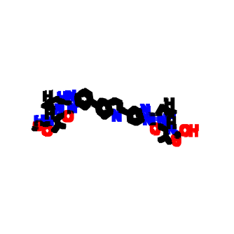 COC(=O)NC(C(=O)N1[C@@H]2C[C@@H]2C[C@H]1c1nc2cc(-c3ccc4nc(-c5ccc6[nH]c([C@@H]7C[C@H]8C[C@H]8N7C(=O)C(NC(=O)O)C(C)C)nc6c5)ccc4c3)ccc2[nH]1)C(C)C